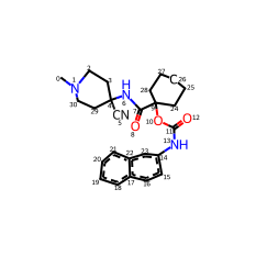 CN1CCC(C#N)(NC(=O)C2(OC(=O)Nc3ccc4ccccc4c3)CCCCC2)CC1